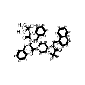 CC(C)(C)OC(=O)N[C@@H](Cc1ccccc1)C(=O)N1CC[C@H](N(Cc2ccnc3ccccc23)C(=O)C(F)(F)F)C[C@H]1Cc1ccccc1